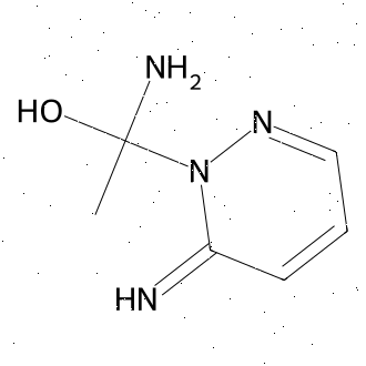 CC(N)(O)n1ncccc1=N